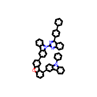 c1ccc(-c2ccc(-c3nc(-n4c5ccccc5c5cc(-c6ccc7oc8cccc(-c9ccc%10c(c9)c9ccccc9n%10-c9ccccc9)c8c7c6)ccc54)nc4ccccc34)cc2)cc1